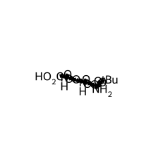 CC(C)(C)OC(=O)CC(N)OCCOC(=O)NCCOCCOC(=O)NCC(=O)O